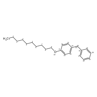 CCCCCCCCCCOc1ccc([I+]c2ccccc2)cc1